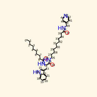 CCCCCCCCCC(=O)N[C@@H](Cc1c[nH]c2ccccc12)C(=O)NCCCCCCCCCCC(=O)NCc1ccncc1